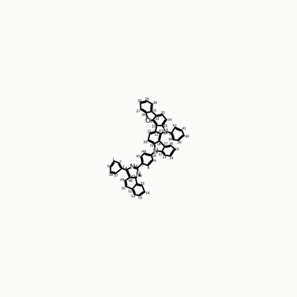 c1ccc(-c2nc(-c3ccc(-n4c5ccccc5c5c4ccc4c6c7oc8ccccc8c7ccc6n(-c6ccccc6)c45)cc3)nc3c2ccc2ccccc23)cc1